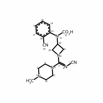 CN1CCN(C(=NC#N)N2CC(N(C(=O)O)c3ccccc3C#N)C2)CC1